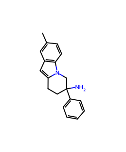 Cc1ccc2c(c1)cc1n2CC(N)(c2ccccc2)CC1